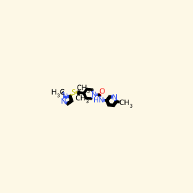 Cc1ccc(NC(=O)N2CCC(C(C)(C)Sc3ccnn3C)CC2)cn1